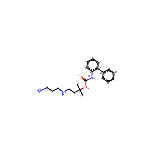 CC(C)(CCNCCCN)OC(=O)Nc1ccccc1-c1ccccc1